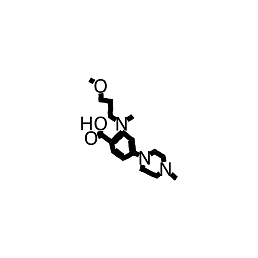 COCCCN(C)c1cc(N2CCN(C)CC2)ccc1C(=O)O